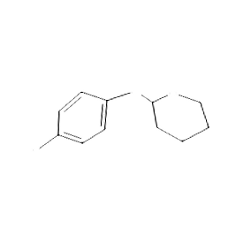 O=S(=O)(O)c1ccc(OC2CCCCO2)cc1